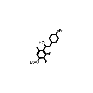 CCCC1CCC(CC(O)c2c(C)cc(OCC)c(F)c2F)CC1